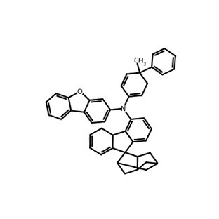 CC1(c2ccccc2)C=CC(N(c2ccc3c(c2)oc2ccccc23)c2cccc3c2C2CC=CC=C2C32C3CC4CC(C3)C2C4)=CC1